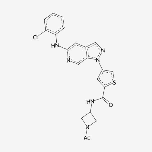 CC(=O)N1CC(NC(=O)c2cc(-n3ncc4cc(Nc5ccccc5Cl)ncc43)cs2)C1